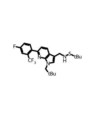 CC(C)(C)Cn1cc(CNSC(C)(C)C)c2ccc(-c3ccc(F)cc3C(F)(F)F)nc21